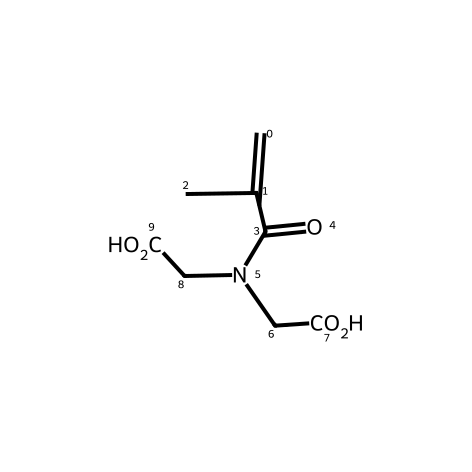 C=C(C)C(=O)N(CC(=O)O)CC(=O)O